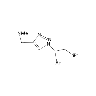 CNCc1cn(C(CC(C)C)C(C)=O)nn1